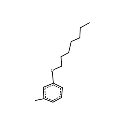 CCCCCCCOc1cccc(C)c1